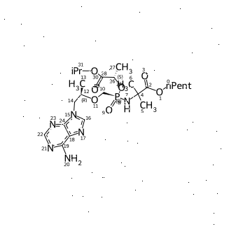 CCCCCOC(=O)C(C)(C)N[P@@](=O)(CO[C@H](C)Cn1cnc2c(N)ncnc21)O[C@@H](C)C(=O)OC(C)C